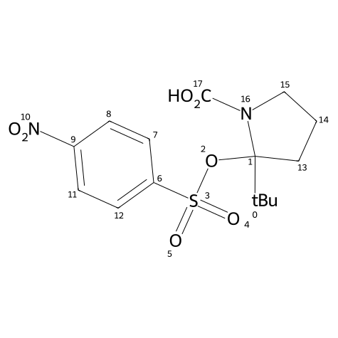 CC(C)(C)C1(OS(=O)(=O)c2ccc([N+](=O)[O-])cc2)CCCN1C(=O)O